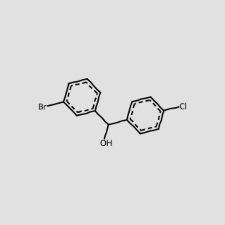 OC(c1ccc(Cl)cc1)c1cccc(Br)c1